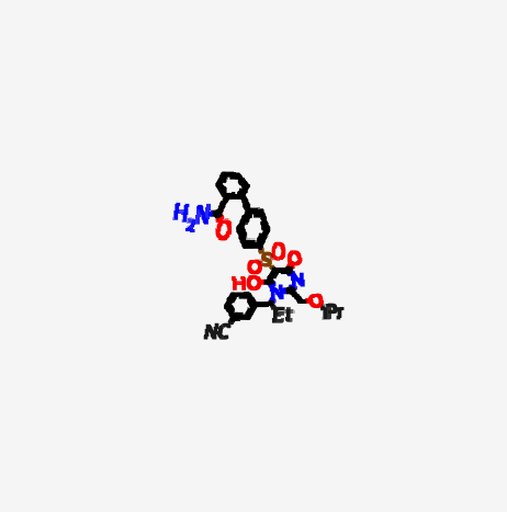 CC[C@@H](c1cccc(C#N)c1)n1c(COC(C)C)nc(=O)c(S(=O)(=O)c2ccc(-c3ccccc3C(N)=O)cc2)c1O